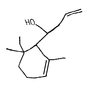 C=CCC(O)C1C(C)=CCCC1(C)C